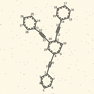 C(#Cc1ccccc1)c1[c]cc(C#Cc2ccccc2)c(C#Cc2ccccc2)c1